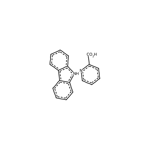 O=C(O)c1ccccn1.c1ccc2c(c1)[nH]c1ccccc12